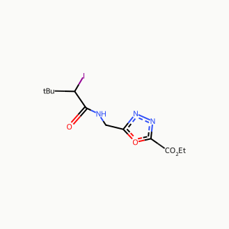 CCOC(=O)c1nnc(CNC(=O)C(I)C(C)(C)C)o1